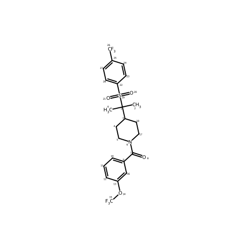 CC(C)(C1CCN(C(=O)c2cccc(OC(F)(F)F)c2)CC1)S(=O)(=O)c1ccc(C(F)(F)F)cc1